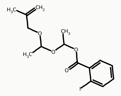 C=C(C)COC(C)OC(C)OC(=O)c1ccccc1I